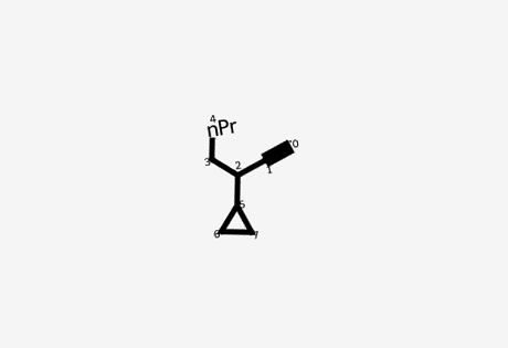 [C]#CC(CCCC)C1CC1